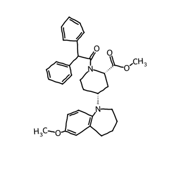 COC(=O)[C@@H]1C[C@H](N2CCCCc3cc(OC)ccc32)CCN1C(=O)C(c1ccccc1)c1ccccc1